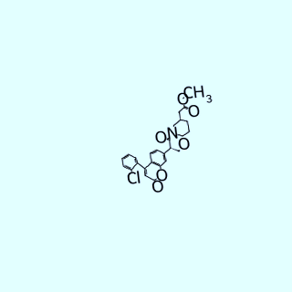 COC(=O)C[C@H]1CCCN(C(=O)[C@@H](C=O)c2ccc3c(-c4ccccc4Cl)cc(=O)oc3c2)C1